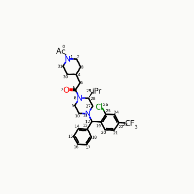 CC(=O)N1CCC(CC(=O)N2CCN(C(c3ccccc3)c3ccc(C(F)(F)F)cc3Cl)C[C@@H]2C(C)C)CC1